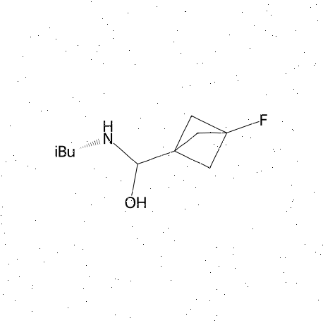 CC[C@@H](C)NC(O)C12CC(F)(C1)C2